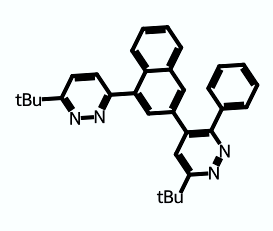 CC(C)(C)c1ccc(-c2cc(-c3cc(C(C)(C)C)nnc3-c3ccccc3)cc3ccccc23)nn1